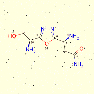 NC(=O)C[C@H](N)c1nnc([C@@H](N)CO)o1